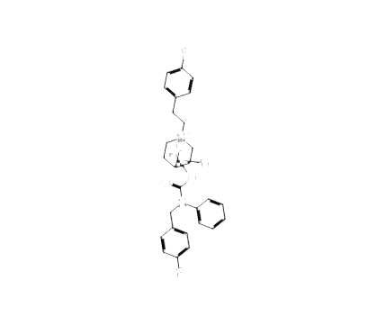 O=C(O[C@H]1C[N+]2(CCc3ccc(F)cc3)CCC1CC2)N(Cc1ccc(F)cc1)c1ccccc1